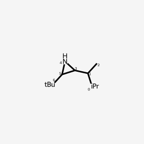 CC(C)C(C)C1NC1C(C)(C)C